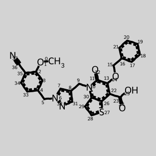 COc1cc(Cn2cc(Cn3c(=O)c(OCc4ccccc4)c(C(=O)O)c4sccc43)cn2)ccc1C#N